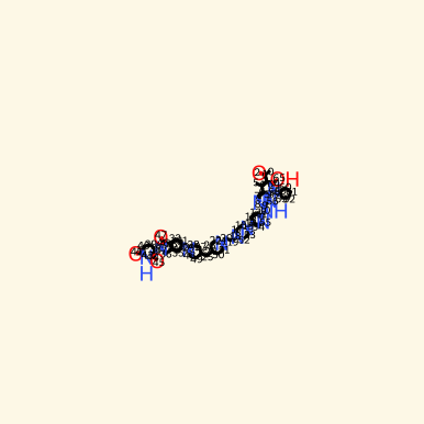 CC(=O)C1=C(C)c2cnc(Nc3ccc(N4CCN(CCN5CCC(CC6CCN(c7ccc8c(c7)CN(C7CCC(=O)NC7=O)C8=O)CC6)CC5)CC4)cn3)nc2N(C2CCCC2)C1O